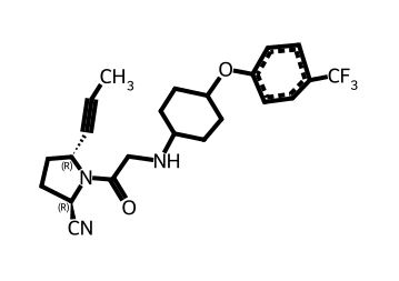 CC#C[C@H]1CC[C@H](C#N)N1C(=O)CNC1CCC(Oc2ccc(C(F)(F)F)cc2)CC1